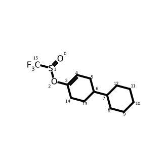 O=S(OC1=CCC(C2CCCCC2)CC1)C(F)(F)F